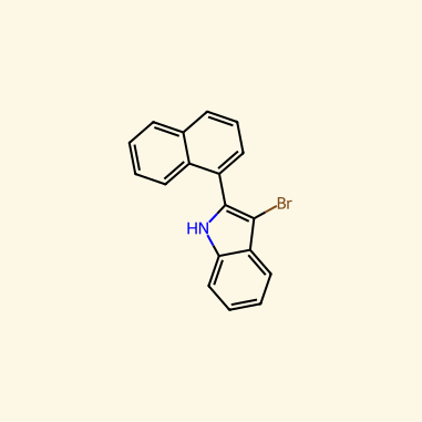 Brc1c(-c2cccc3ccccc23)[nH]c2ccccc12